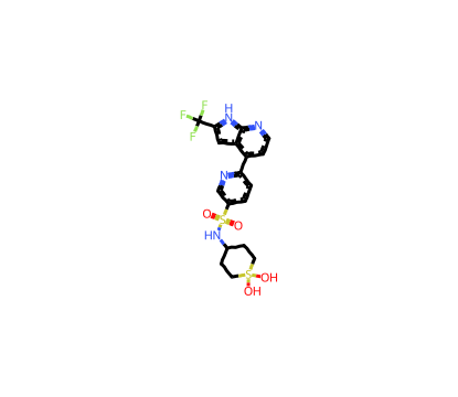 O=S(=O)(NC1CCS(O)(O)CC1)c1ccc(-c2ccnc3[nH]c(C(F)(F)F)cc23)nc1